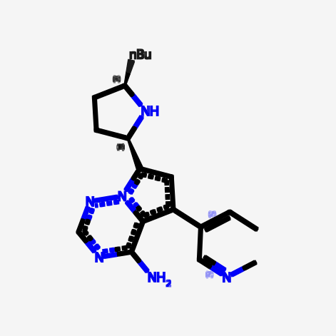 C/C=C(\C=N/C)c1cc([C@H]2CC[C@@H](CCCC)N2)n2ncnc(N)c12